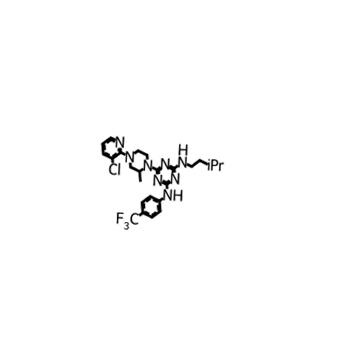 CC(C)CCNc1nc(Nc2ccc(C(F)(F)F)cc2)nc(N2CCN(c3ncccc3Cl)CC2C)n1